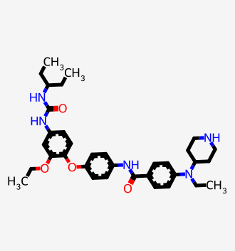 CCOc1cc(NC(=O)NC(CC)CC)ccc1Oc1ccc(NC(=O)c2ccc(N(CC)C3CCNCC3)cc2)cc1